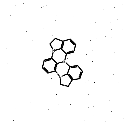 c1cc2c3c(c1)B1c4cccc5c4N(CC5)c4cccc(c41)N3CC2